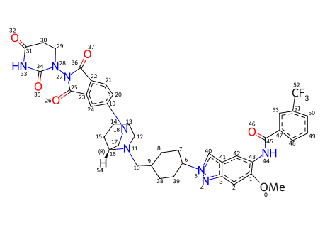 COc1cc2nn(C3CCC(CN4CC5CC[C@@H]4CN5c4ccc5c(c4)C(=O)N(N4CCC(=O)NC4=O)C5=O)CC3)cc2cc1NC(=O)c1cccc(C(F)(F)F)c1